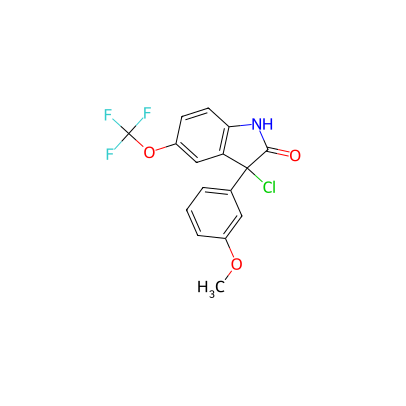 COc1cccc(C2(Cl)C(=O)Nc3ccc(OC(F)(F)F)cc32)c1